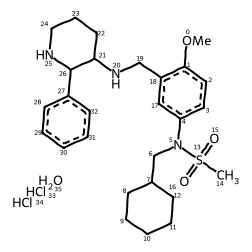 COc1ccc(N(CC2CCCCC2)S(C)(=O)=O)cc1CNC1CCCNC1c1ccccc1.Cl.Cl.O